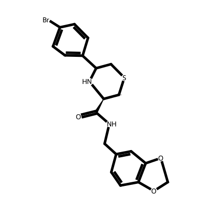 O=C(NCc1ccc2c(c1)OCO2)[C@@H]1[CH]SCC(c2ccc(Br)cc2)N1